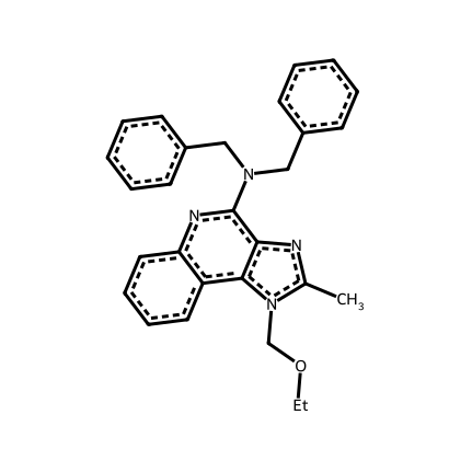 CCOCn1c(C)nc2c(N(Cc3ccccc3)Cc3ccccc3)nc3ccccc3c21